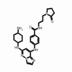 NC1CCC(Nc2cc(Nc3ccc(C(=O)NCCCN4CCCC4=O)cc3)c3nccn3n2)CC1